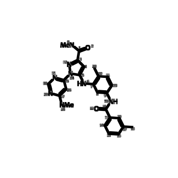 CNC(=O)c1cc(Nc2cc(NC(=O)c3cccc(C)c3)ccc2C)n(-c2cc(NC)ncn2)n1